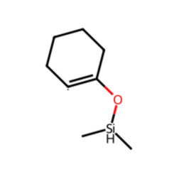 C[SiH](C)OC1=[C]CCCC1